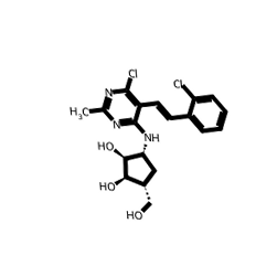 Cc1nc(Cl)c(/C=C/c2ccccc2Cl)c(N[C@@H]2C[C@H](CO)[C@@H](O)[C@H]2O)n1